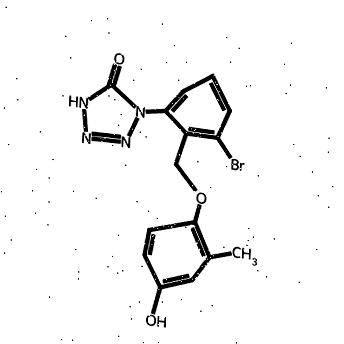 Cc1cc(O)ccc1OCc1c(Br)cccc1-n1nn[nH]c1=O